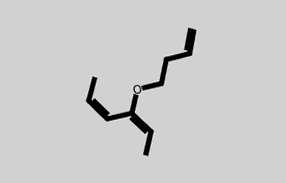 C=CCCOC(/C=C\C)=C/C